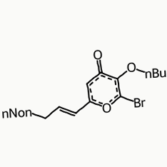 CCCCCCCCCCC=Cc1cc(=O)c(OCCCC)c(Br)o1